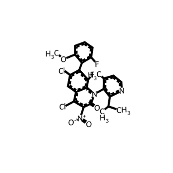 COc1cccc(F)c1-c1c(Cl)cc2c(Cl)c([N+](=O)[O-])c(=O)n(-c3c(C)ccnc3C(C)C)c2c1F